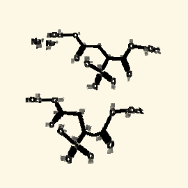 CCCCCCCCOC(=O)CC(C(=O)OCCCCCCCC)S(=O)(=O)[O-].CCCCCCCCOC(=O)CC(C(=O)OCCCCCCCC)S(=O)(=O)[O-].[Na+].[Na+]